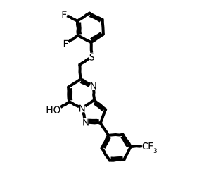 Oc1cc(CSc2cccc(F)c2F)nc2cc(-c3cccc(C(F)(F)F)c3)nn12